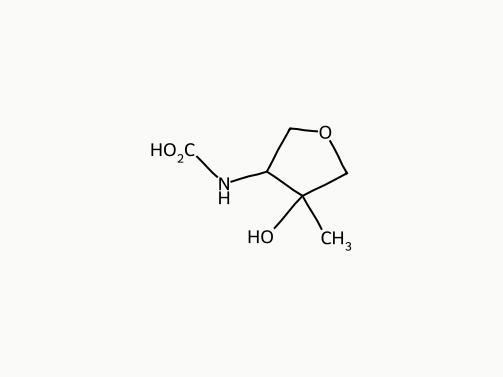 CC1(O)COCC1NC(=O)O